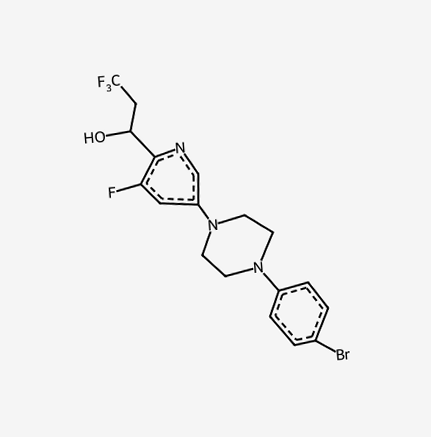 OC(CC(F)(F)F)c1ncc(N2CCN(c3ccc(Br)cc3)CC2)cc1F